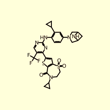 O=C1c2sc(-c3nc(Nc4ccc(N5CC6CC(C5)N6)cc4C4CC4)ncc3C(F)(F)F)cc2S(=O)(=O)CCN1C1CC1